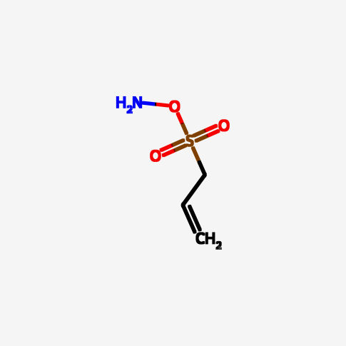 C=CCS(=O)(=O)ON